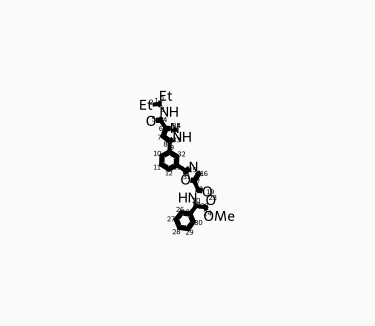 CCC(CC)NC(=O)c1cc(-c2cccc(-c3ncc(C(=O)N[C@@H](C(=O)OC)c4ccccc4)o3)c2)[nH]n1